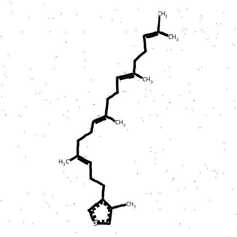 CC(C)=CCC/C(C)=C/CC/C(C)=C/CC/C(C)=C/CCc1cscc1C